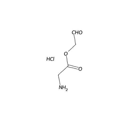 Cl.NCC(=O)OCC=O